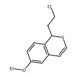 CCOc1ccc2c(c1)C=CSC2CCCl